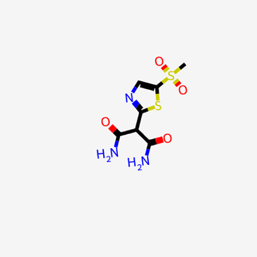 CS(=O)(=O)c1cnc(C(C(N)=O)C(N)=O)s1